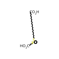 O=C(O)CCCCCCCCCCCCCCCCCCCCSc1ccccc1SCCCC(=O)O